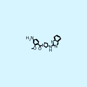 COc1cc(N)ccc1C(=O)N1CC[C@@H](Nc2ncc3ccccc3n2)C1